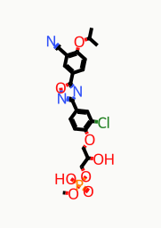 COP(=O)(O)OCC(O)COc1ccc(-c2noc(-c3ccc(OC(C)C)c(C#N)c3)n2)cc1Cl